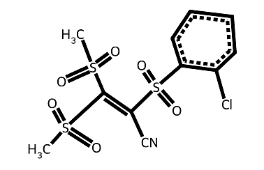 CS(=O)(=O)C(=C(C#N)S(=O)(=O)c1ccccc1Cl)S(C)(=O)=O